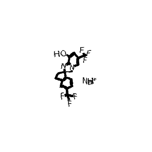 OC1=CC(C(F)(F)F)=CN2C[C@@]3(CCc4cc(C(F)(F)F)ccc43)N=C12.[H-].[Na+]